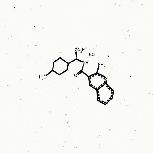 CC1CCC([C@H](NC(=O)c2cc3ccccc3cc2N)C(=O)O)CC1.Cl